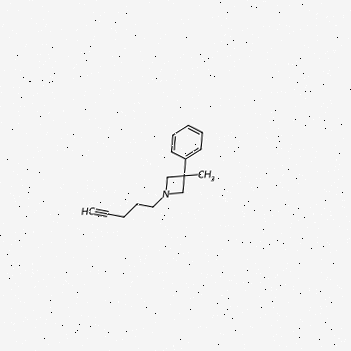 C#CCCCN1CC(C)(c2ccccc2)C1